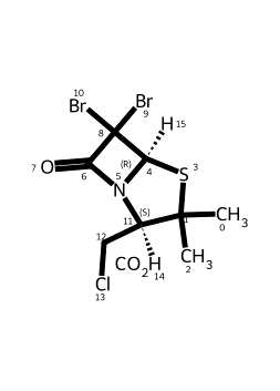 CC1(C)S[C@H]2N(C(=O)C2(Br)Br)[C@@]1(CCl)C(=O)O